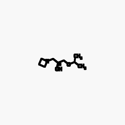 CC(C)OC[C@@H](O)CN1CCC1